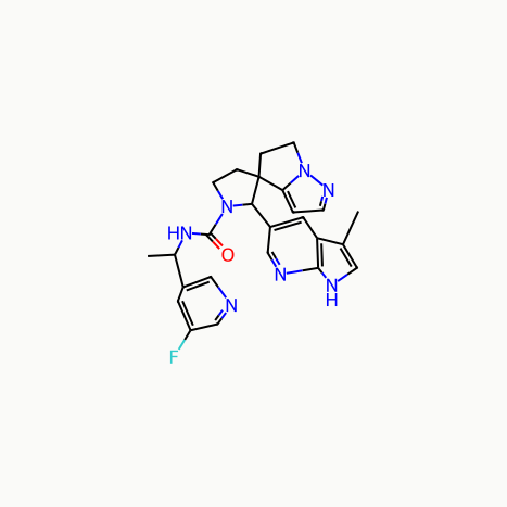 Cc1c[nH]c2ncc(C3N(C(=O)NC(C)c4cncc(F)c4)CCC34CCn3nccc34)cc12